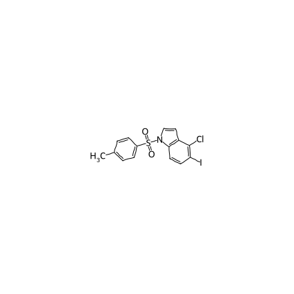 Cc1ccc(S(=O)(=O)n2ccc3c(Cl)c(I)ccc32)cc1